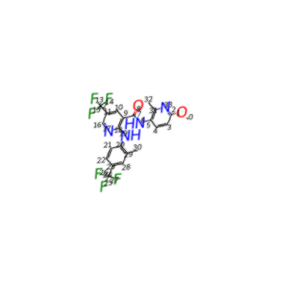 COc1ccc(NC(=O)c2cc(C(F)(F)F)cnc2Nc2ccc(C(F)(F)F)cc2C)c(C)n1